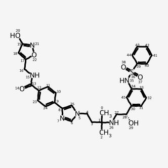 CC(C)(CCn1cnc(-c2ccc(C(=O)NCc3cc(O)no3)cc2)c1)NC[C@@H](O)c1cccc(NS(=O)(=O)c2ccccc2)c1